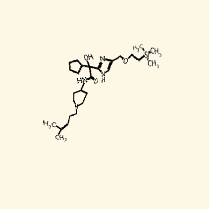 CC(C)=CCCN1CCC(NC(=O)C(O)(c2nc(COCC[Si](C)(C)C)c[nH]2)C2CCCC2)CC1